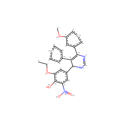 CCOc1cc(C2NC=NC(c3cccc(OC)c3)=C2c2ccccc2)cc([N+](=O)[O-])c1O